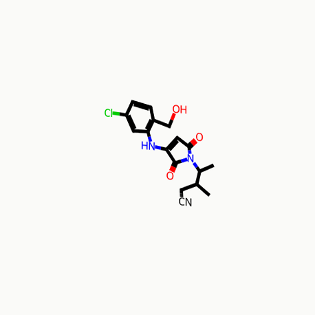 CC(CC#N)C(C)N1C(=O)C=C(Nc2cc(Cl)ccc2CO)C1=O